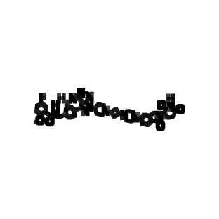 COc1ccc(F)cc1C(=O)NCc1ccc(-c2nn(C3CCN(C4CC(N5CCN(c6ccc7c(c6)CN([C@H]6CCC(=O)NC6=O)C7=O)CC5)C4)CC3)c3ncnc(N)c23)cc1